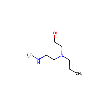 CCCN(CCO)CCNC